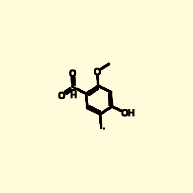 [CH2]c1cc([SH](=O)=O)c(OC)cc1O